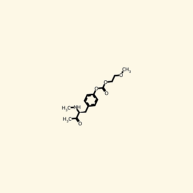 CN[C@@H](Cc1ccc(OC(=O)OCCOC)cc1)C(C)=O